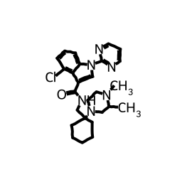 CC1CN(C2(CNC(=O)c3cn(-c4ncccn4)c4cccc(Cl)c34)CCCCC2)CCN1C